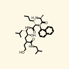 CCCC[C@@H](C(=O)N[C@@H](CC(C)C)[C@@H](O)CC(CCO)C(=O)NCC(C)C)N(C(=O)[C@H](C)N)c1cccc2ccccc12